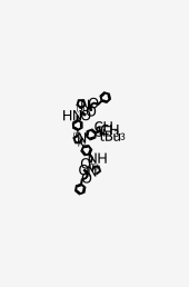 CC(C)(C)[Si](C)(C)c1ccc(N2[C@@H](c3ccc(NC(=O)[C@@H]4CCCN4C(=O)OCc4ccccc4)cc3)CC[C@H]2c2ccc(NC(=O)[C@@H]3CCCN3C(=O)OCc3ccccc3)cc2)cc1